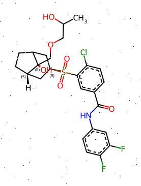 CC(O)COC[C@@]1(O)C2CC[C@H]1C[C@H](S(=O)(=O)c1cc(C(=O)Nc3ccc(F)c(F)c3)ccc1Cl)C2